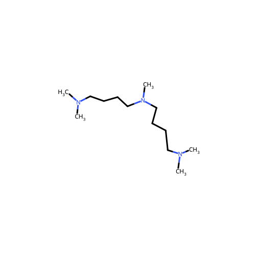 CN(C)CCCCN(C)CCCCN(C)C